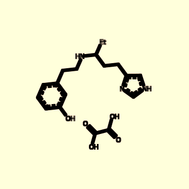 CCC(CCc1c[nH]cn1)NCCc1cccc(O)c1.O=C(O)C(=O)O